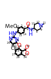 COc1cc(C(=O)NC2CCN(C)CC2)ccc1Nc1ncc(C(F)(F)F)c(Oc2cccc3c2C(=O)OC3)n1